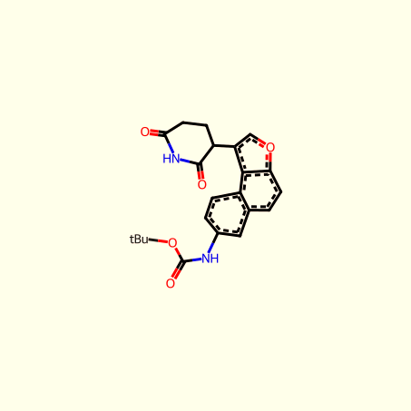 CC(C)(C)OC(=O)Nc1ccc2c(ccc3occ(C4CCC(=O)NC4=O)c32)c1